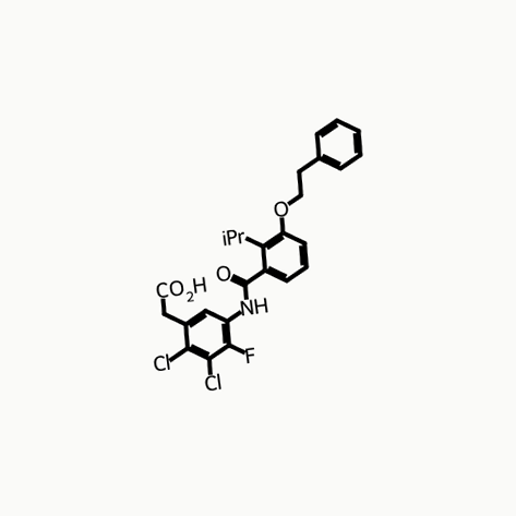 CC(C)c1c(OCCc2ccccc2)cccc1C(=O)Nc1cc(CC(=O)O)c(Cl)c(Cl)c1F